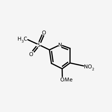 COc1cc(S(C)(=O)=O)ncc1[N+](=O)[O-]